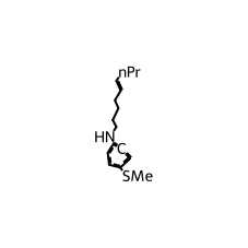 CCCC=CCCCCNc1ccc(SC)cc1